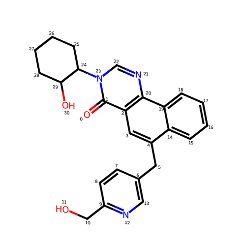 O=c1c2cc(Cc3ccc(CO)nc3)c3ccccc3c2ncn1C1CCCCC1O